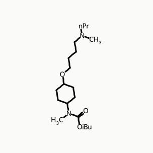 CCCN(C)CCCCOC1CCC(N(C)C(=O)OCC(C)C)CC1